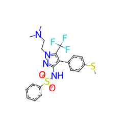 CSc1ccc(-c2c(NS(=O)(=O)c3ccccc3)nn(CCN(C)C)c2C(F)(F)F)cc1